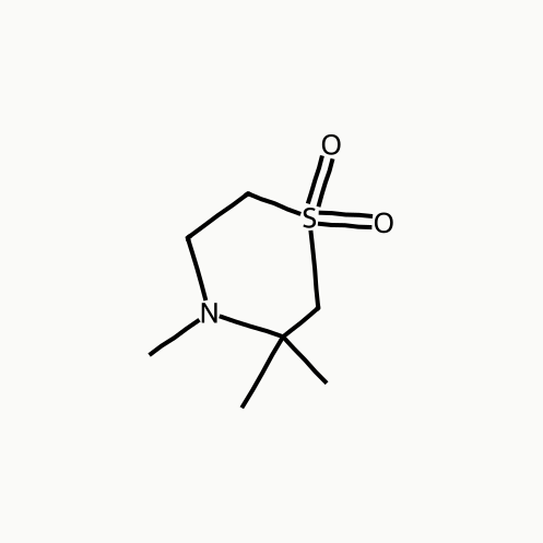 CN1CCS(=O)(=O)CC1(C)C